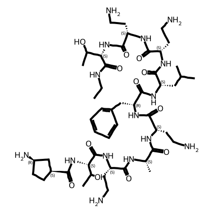 CCNC(=O)[C@@H](NC(=O)[C@H](CCN)NC(=O)[C@H](CCN)NC(=O)[C@H](CC(C)C)NC(=O)[C@@H](Cc1ccccc1)NC(=O)[C@H](CCN)NC(=O)[C@H](C)NC(=O)[C@H](CCN)NC(=O)[C@@H](NC(=O)[C@H]1CC[C@@H](N)C1)C(C)O)C(C)O